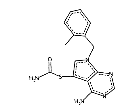 Cc1ccccc1Cn1cc(SC(N)=O)c2c(N)ncnc21